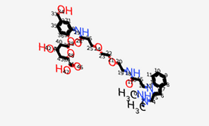 CNN(C)Cc1cc2ccccc2n1CCC(=O)NCCOCCOCCC(=O)Nc1cc(CO)ccc1OC1C[C@@H](O)C[C@@H](C(=O)O)O1